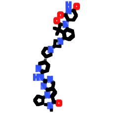 CN(C)C(=O)c1cc2cnc(Nc3ccc([C@@H]4CCN(C5CN(c6cccc7c6C(C)(C)C(=O)N7[C@@H]6CCC(=O)NC6=O)C5)C4)cn3)nc2n1C1CCCC1